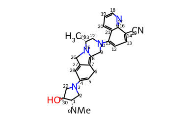 CN[C@H]1CN(C2=CCC3=C4CN(c5ccc(C#N)c6ncccc56)C[C@@H](C)N4CC3=C2)C[C@@H]1O